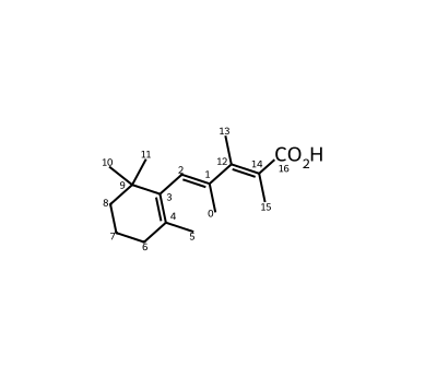 CC(=CC1=C(C)CCCC1(C)C)C(C)=C(C)C(=O)O